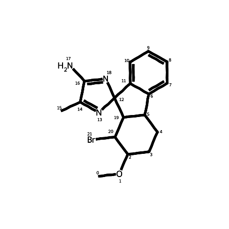 COC1CCC2c3ccccc3C3(N=C(C)C(N)=N3)C2C1Br